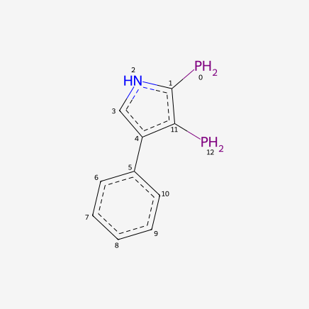 Pc1[nH]cc(-c2ccccc2)c1P